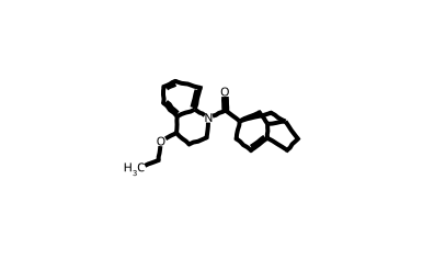 CCOC1CCN(C(=O)C23CC=C4CCC(C2)C4C3)c2ccccc21